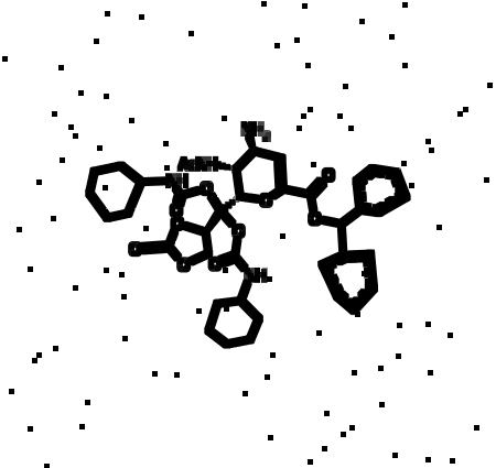 CC(=O)N[C@@H]1[C@@H](N)C=C(C(=O)OC(c2ccccc2)c2ccccc2)O[C@@H]1C(OC(=O)NC1CCCCC1)(OC(=O)NC1CCCCC1)[C@H]1COC(=O)O1